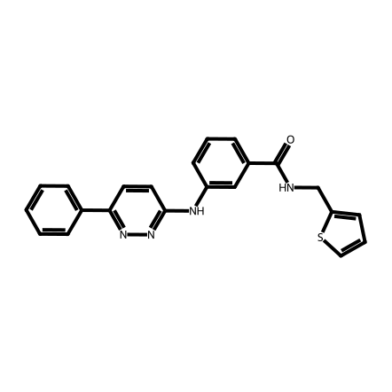 O=C(NCc1cccs1)c1cccc(Nc2ccc(-c3ccccc3)nn2)c1